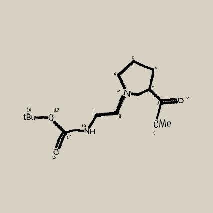 COC(=O)C1CCCN1CCNC(=O)OC(C)(C)C